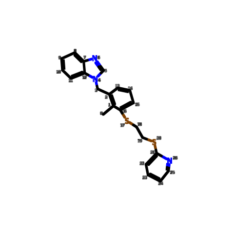 Cc1c(Cn2cnc3ccccc32)cccc1SCCSc1ccccn1